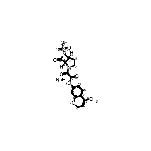 CC1=CCOc2cc(OC(=O)C(=O)N3CC[C@@H]4[C@H]3C(=O)N4S(=O)(=O)O)ccc21.[NaH]